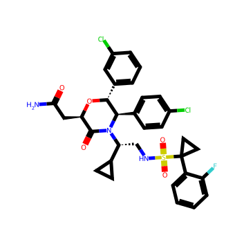 NC(=O)C[C@H]1O[C@H](c2cccc(Cl)c2)[C@@H](c2ccc(Cl)cc2)N([C@H](CNS(=O)(=O)C2(c3ccccc3F)CC2)C2CC2)C1=O